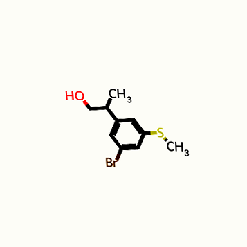 CSc1cc(Br)cc([C](C)CO)c1